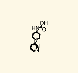 O=C(O)NC1CCN(c2cccnn2)CC1